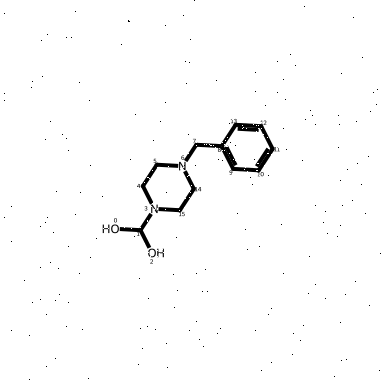 OC(O)N1CCN(Cc2ccccc2)CC1